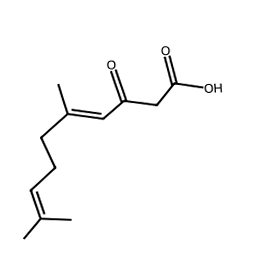 CC(C)=CCCC(C)=CC(=O)CC(=O)O